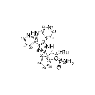 CC(C)(C)CCC1(c2nc3c([nH]2)-c2ccncc2Nc2ncccc2-3)C=CC=CC1OC(N)=O